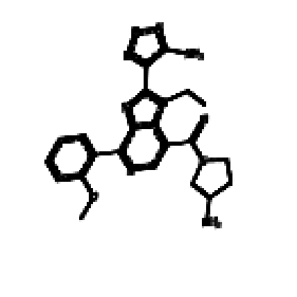 CCn1c(-c2nonc2N)nc2c(-c3ccccc3OC)ncc(C(=O)N3CCC(N)C3)c21